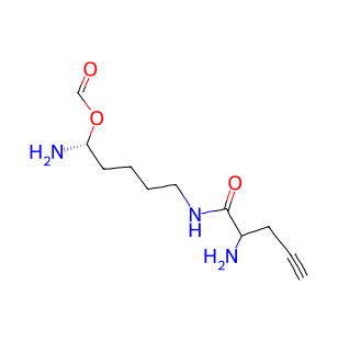 C#CCC(N)C(=O)NCCCC[C@H](N)OC=O